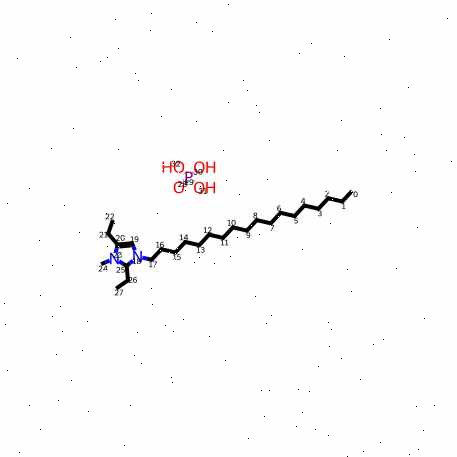 CCCCCCCCCCCCCCCCCCN1C=C(CC)N(C)C1CC.O=P(O)(O)O